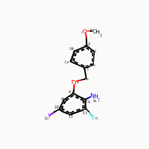 COc1ccc(COc2cc(I)cc(F)c2N)cc1